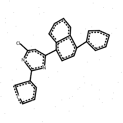 Clc1cc(-c2ccc(-c3ccccc3)c3ccccc23)nc(-c2ccccc2)n1